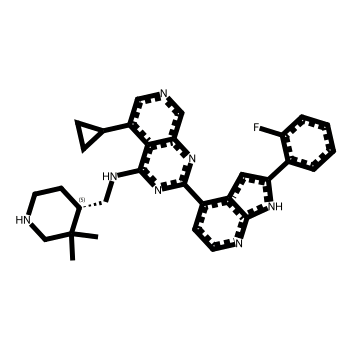 CC1(C)CNCC[C@@H]1CNc1nc(-c2ccnc3[nH]c(-c4ccccc4F)cc23)nc2cncc(C3CC3)c12